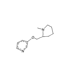 CN1CCCCC1COc1cccnc1